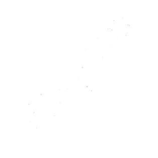 Cl.Cl.Cl.O=c1cc(CN2CCNCC2)occ1OCCCCCOc1ccnc2cc(Cl)ccc12